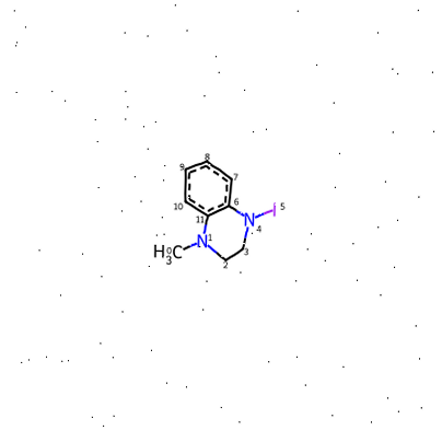 CN1CCN(I)c2ccccc21